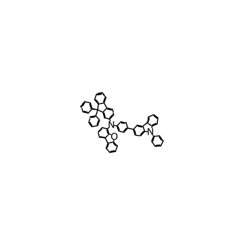 c1ccc(-n2c3ccccc3c3cc(-c4ccc(N(c5ccc6c(c5)C(c5ccccc5)(c5ccccc5)c5ccccc5-6)c5cccc6c5oc5ccccc56)cc4)ccc32)cc1